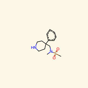 CN(CC1(c2ccccc2)CCNCC1)S(C)(=O)=O